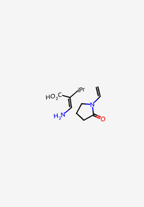 C=CN1CCCC1=O.CC(C)C(=CN)C(=O)O